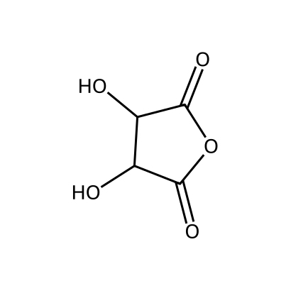 O=C1OC(=O)C(O)C1O